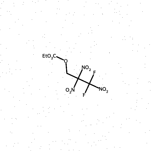 CCOC(=O)OCC([N+](=O)[O-])([N+](=O)[O-])C(F)(F)[N+](=O)[O-]